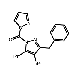 CC(C)c1c(Cc2ccccc2)nn(C(=O)n2cccn2)c1C(C)C